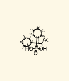 CC(=O)CC(c1ccccc1)(c1ccccc1)P(=O)(O)O